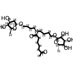 CC(=O)CCCCC(=O)N(CCCCO[C@H]1C[C@H](O)[C@H](O)[C@H](C)O1)CCCCO[C@@H]1O[C@@H](C)[C@@H](O)[C@@H](O)[C@@H]1O